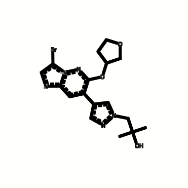 CC(C)(O)Cn1cc(-c2cc3ncc(Br)n3nc2OC2CCOC2)cn1